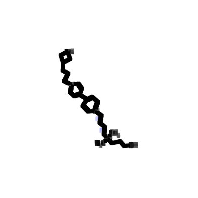 C[N+](C)(/C=C/C=C/[n+]1ccc(-c2cc[n+](CCCC3CNC3)cc2)cc1)CCCO